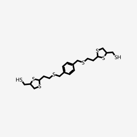 SCC1CSC(CCSCc2ccc(CSCCC3SCC(CS)S3)cc2)S1